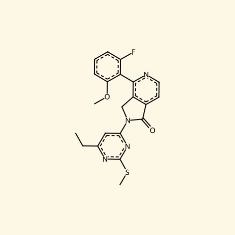 CCc1cc(N2Cc3c(ccnc3-c3c(F)cccc3OC)C2=O)nc(SC)n1